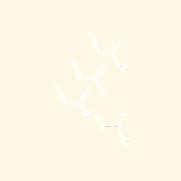 O=CC(=O)O.O=CC(=O)O.O=CC(=O)O.O=CC(=O)O